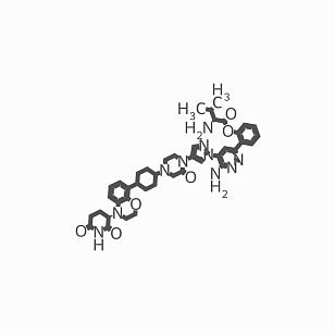 CC(C)[C@H](N)C(=O)Oc1ccccc1-c1cc(-n2cc(N3CCN(C4CCC(c5cccc6c5OCCN6[C@H]5CCC(=O)NC5=O)CC4)CC3=O)cn2)c(N)nn1